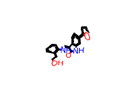 O=C1Nc2cc(-c3ccco3)ccc2C1=CNc1ccccc1CCO